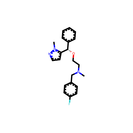 CN(CCO[C@@H](c1ccccc1)c1ccnn1C)Cc1ccc(F)cc1